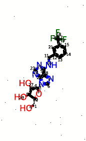 OC[C@H]1O[C@@H](n2cnc3c(NCc4cccc(C(F)(F)F)c4)ncnc32)[C@@H](O)[C@@H]1O